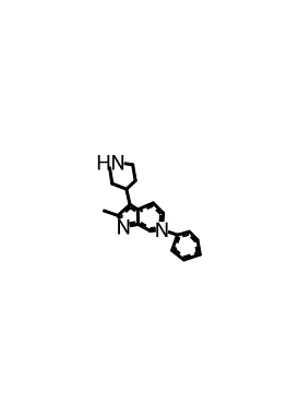 Cc1nc2cn(-c3ccccc3)ccc-2c1C1CCNCC1